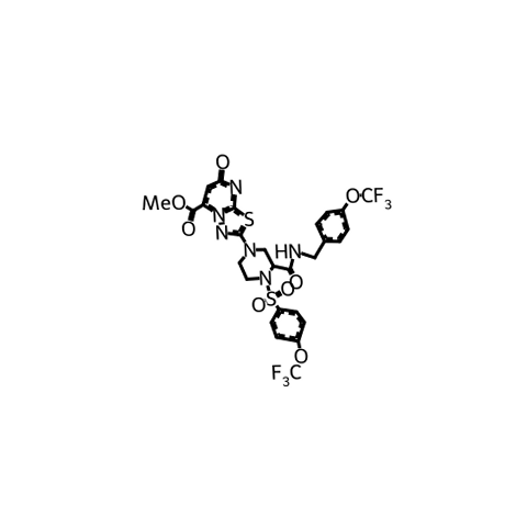 COC(=O)c1cc(=O)nc2sc(N3CCN(S(=O)(=O)c4ccc(OC(F)(F)F)cc4)C(C(=O)NCc4ccc(OC(F)(F)F)cc4)C3)nn12